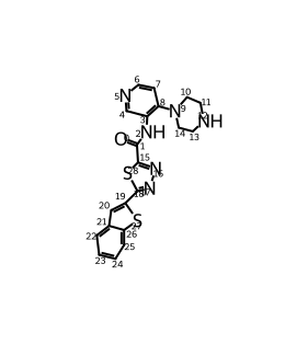 O=C(Nc1cnccc1N1CCNCC1)c1nnc(-c2cc3ccccc3s2)s1